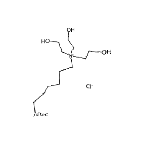 CCCCCCCCCCCCCCCC[N+](CCO)(CCO)CCO.[Cl-]